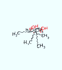 CCCCCCCCCC(C)(CCCCCCC)C(CCCC(=O)O)(C(=O)O)C(C)(CCCCCCC)CCCCCCCCC